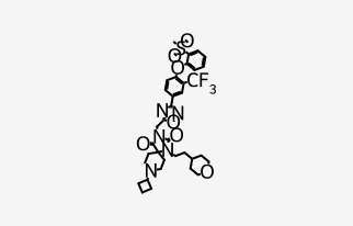 CS(=O)(=O)c1ccccc1Oc1ccc(-c2noc(CN3C(=O)N(CCC4CCOCC4)C4(CCN(C5CCC5)CC4)C3=O)n2)cc1C(F)(F)F